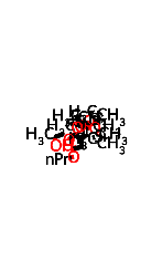 CCCOC(=O)CC(=C[Si](O[Si](C)(C)C)(O[Si](C)(C)C)O[Si](C)(C)C)C(=O)OCC(C)O